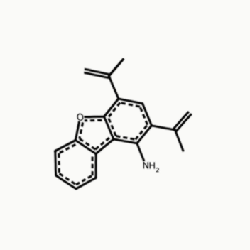 C=C(C)c1cc(C(=C)C)c2oc3ccccc3c2c1N